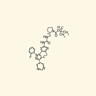 CC(C)(C)OC(=O)N1CCC[C@@H]1CNC(=O)Nc1nc2c(s1)-c1c(c(-c3cncnc3)nn1-c1ccccc1F)CC2